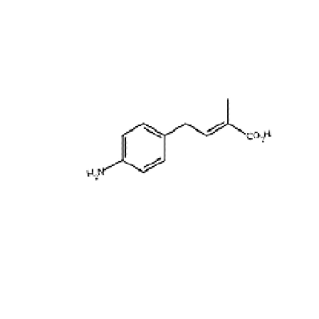 CC(=CCc1ccc(N)cc1)C(=O)O